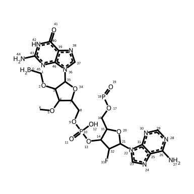 BCOC1C(OC)C(COP(=O)(O)OC2C(COP=O)OC(n3cnc4c(N)ncnc43)C2F)OC1n1cnc2c(=O)[nH]c(N)nc21